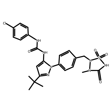 CN1C(=O)NS(=O)(=O)N1Cc1ccc(-n2nc(C(C)(C)C)cc2NC(=O)Nc2ccc(Cl)cc2)cc1